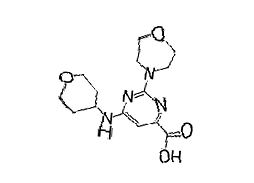 O=C(O)c1cc(NC2CCOCC2)nc(N2CCOCC2)n1